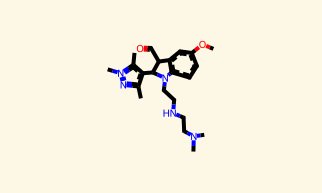 COc1ccc2c(c1)C(C=O)C(c1c(C)nn(C)c1C)N2CCNCCN(C)C